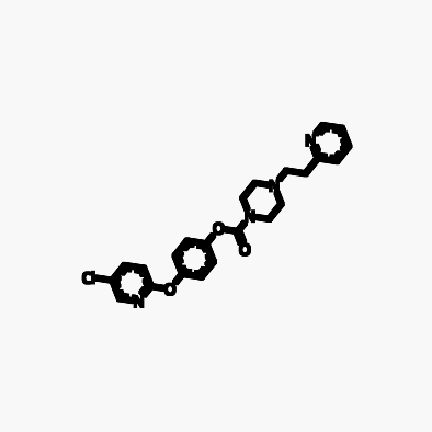 O=C(Oc1ccc(Oc2ccc(Cl)cn2)cc1)N1CCN(CCc2ccccn2)CC1